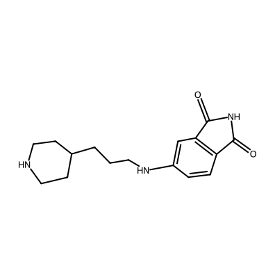 O=C1NC(=O)c2cc(NCCCC3CCNCC3)ccc21